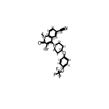 Cn1c(=O)c(Br)c(N2CCC(Oc3ccc(OC(F)(F)F)cc3)CC2)c2cc(C#N)ccc21